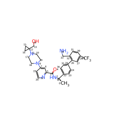 C[C@@H](NC(=O)c1cc(N2CCN(C3(CO)CC3)CC2)ccn1)c1ccc(-c2cc(C(F)(F)F)ccc2CN)cc1